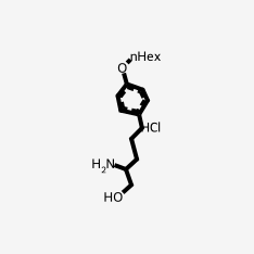 CCCCCCOc1ccc(CCCC(N)CO)cc1.Cl